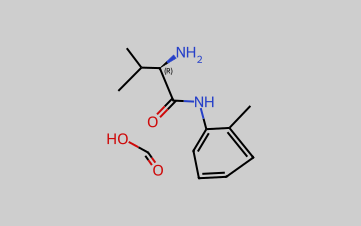 Cc1ccccc1NC(=O)[C@H](N)C(C)C.O=CO